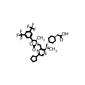 C[C@H]1C(c2cc(C(F)(F)F)cc(C(F)(F)F)c2)OC(=O)N1Cc1nc(C2CCCC2)cnc1N(C)C[C@H]1CC[C@H](CC(=O)O)CC1